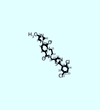 Cc1cn(-c2ccc3n(c2=O)CCN(Cc2cnc(-c4cc(Cl)ccc4Cl)s2)C3=O)cn1